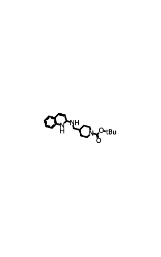 CC(C)(C)OC(=O)N1CCC(CNC2C=Cc3ccccc3N2)CC1